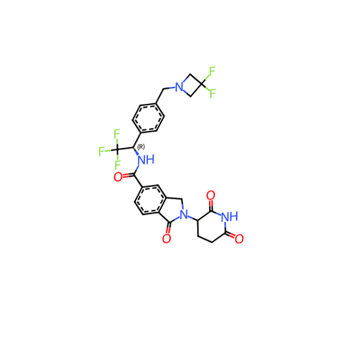 O=C1CCC(N2Cc3cc(C(=O)N[C@H](c4ccc(CN5CC(F)(F)C5)cc4)C(F)(F)F)ccc3C2=O)C(=O)N1